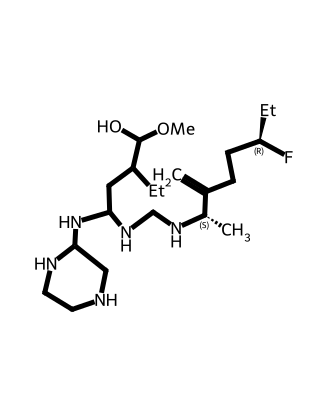 C=C(CC[C@H](F)CC)[C@H](C)NCNC(CC(CC)C(O)OC)NC1CNCCN1